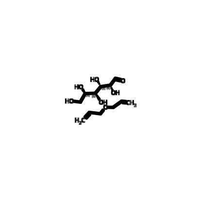 C=CCOCC=C.O=C[C@H](O)[C@@H](O)[C@@H](O)[C@H](O)CO